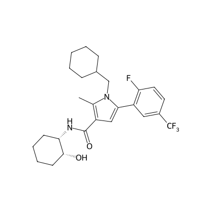 Cc1c(C(=O)N[C@H]2CCCC[C@H]2O)cc(-c2cc(C(F)(F)F)ccc2F)n1CC1CCCCC1